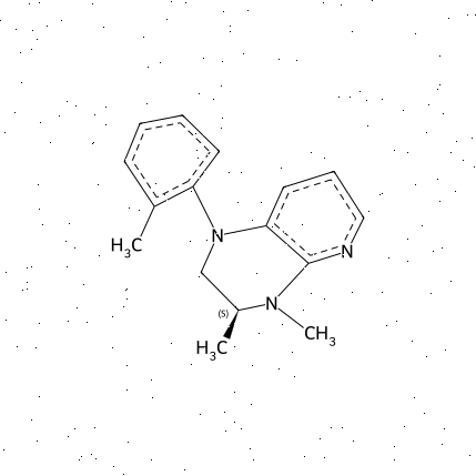 Cc1ccccc1N1C[C@H](C)N(C)c2ncccc21